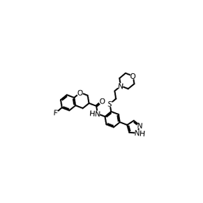 O=C(Nc1ccc(-c2cn[nH]c2)cc1SCCN1CCOCC1)C1COc2ccc(F)cc2C1